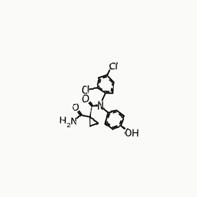 NC(=O)C1(C(=O)N(c2ccc(O)cc2)c2ccc(Cl)cc2Cl)CC1